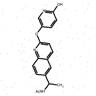 CC(=O)NC(C)c1ccc2nc(Oc3ccc(O)nc3)ccc2c1